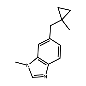 Cn1cnc2ccc(CC3(C)CC3)cc21